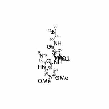 COc1cc(NCCN(C)C)c(C(=O)Nc2nc(C(=O)NCCN(C)C)cs2)cc1OC.Cl.Cl.Cl